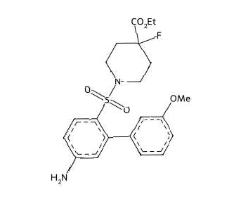 CCOC(=O)C1(F)CCN(S(=O)(=O)c2ccc(N)cc2-c2cccc(OC)c2)CC1